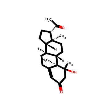 CC(=O)[C@H]1CC[C@H]2[C@@H]3CCC4=CC(=O)CC(C)(O)[C@]4(C)[C@H]3CC[C@]12C